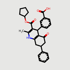 CC1=C(C(=O)OC2CCCC2)C(c2cccc(C(=O)O)c2)C2=C(CC(c3ccccc3)CC2=O)N1